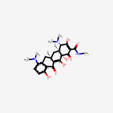 CNC(=O)C1=C(O)[C@@H](N(C)C)[C@@H]2C[C@@H]3Cc4c(N(C)C)ccc(O)c4C(=O)C3=C(O)[C@]2(O)C1=O